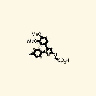 COc1ccc(-c2cc(OCC(=O)O)nn2-c2ccc(F)cc2)cc1OC